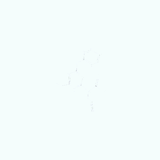 C=CCN(C(=O)OC)c1nc(OCC)nc(Sc2ccccc2)n1